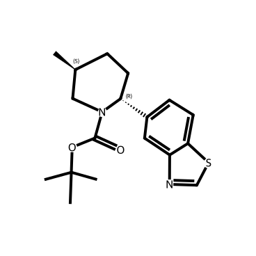 C[C@H]1CC[C@H](c2ccc3scnc3c2)N(C(=O)OC(C)(C)C)C1